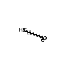 O=C([O-])CCCCCCCCCCCCS.[Li+]